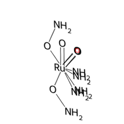 N[O][Ru]([NH2])([NH2])([NH2])([NH2])(=[O])(=[O])(=[O])[O]N